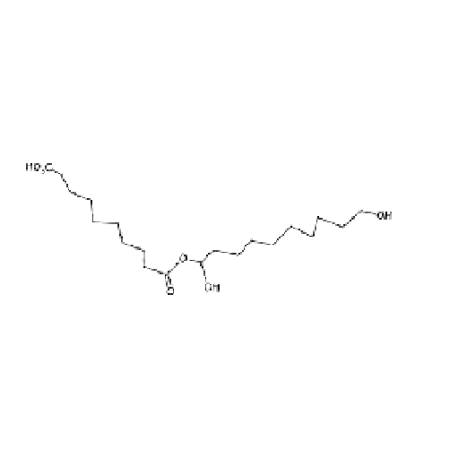 O=C(O)CCCCCCCCC(=O)OC(O)CCCCCCCCCO